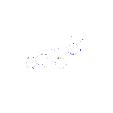 Cc1cccc2nc(CCNc3ncnc(N)c3C#N)c(-c3ccccc3)c(=O)n12